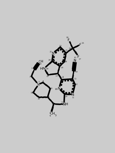 C#CCN1CCC(C(C)Nc2ncc(C#N)c(C3CNc4ncc(C(F)(F)F)cc43)n2)CC1